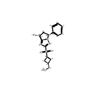 O=S(=O)(c1nc2n(n1)[C@H](c1ccccc1)C[C@@H]2F)C1CC(CO)C1